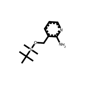 CC(C)(C)[Si](C)(C)OCc1cccnc1N